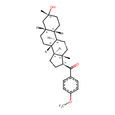 C[C@@]1(O)CC[C@H]2[C@H](CC[C@@H]3[C@@H]2CC[C@]2(C)[C@@H](C(=O)c4ccc(OC(F)(F)F)cc4)CC[C@@H]32)C1